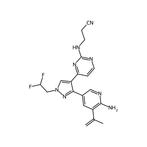 C=C(C)c1cc(-c2nn(CC(F)F)cc2-c2ccnc(NCCC#N)n2)cnc1N